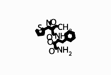 Cc1onc(-c2cccs2)c1C(=O)NC(Cc1ccccc1)C(=O)C(N)=O